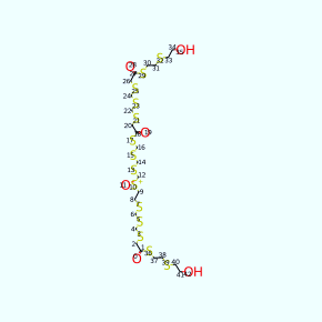 O=C(CSCSCSCC[S+]([O-])CSCSCSC(=O)CSCSCSCC(=O)SCCSCCO)SCCSCCO